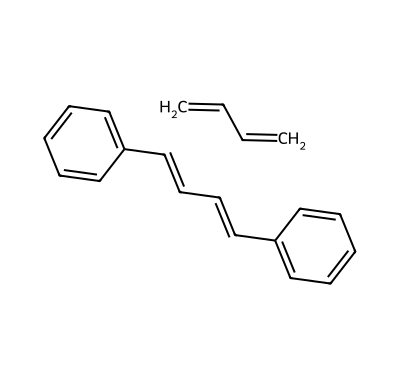 C(/C=C/c1ccccc1)=C\c1ccccc1.C=CC=C